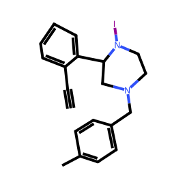 C#Cc1ccccc1C1CN(Cc2ccc(C)cc2)CCN1I